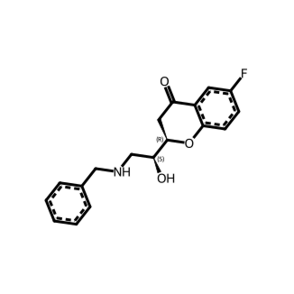 O=C1C[C@H]([C@@H](O)CNCc2ccccc2)Oc2ccc(F)cc21